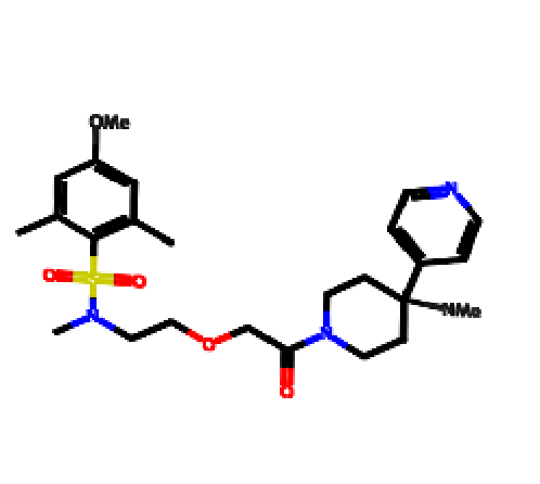 CNC1(c2ccncc2)CCN(C(=O)COCCN(C)S(=O)(=O)c2c(C)cc(OC)cc2C)CC1